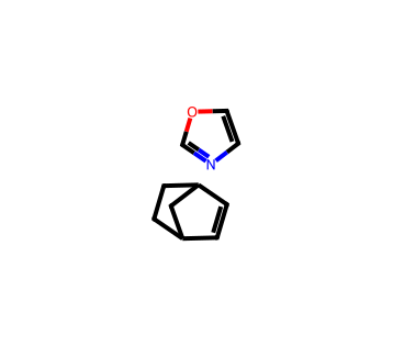 C1=CC2CCC1C2.c1cocn1